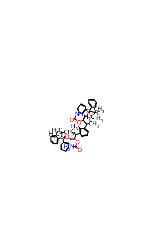 CC(c1cccc(C(C)C(CO[Si](c2ccccc2)(c2ccccc2)C(C)(C)C)OC(N)=O)c1I)C(CO[Si](c1ccccc1)(c1ccccc1)C(C)(C)C)OC(N)=O